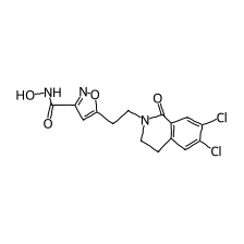 O=C(NO)c1cc(CCN2CCc3cc(Cl)c(Cl)cc3C2=O)on1